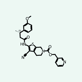 COc1cccc([C@@H](C)CC(=O)Nc2sc3c(c2C#N)CCN(C(=O)OCc2cccnc2)C3)c1